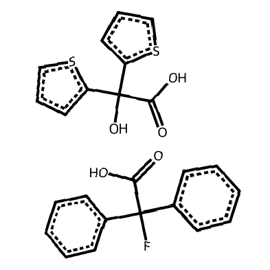 O=C(O)C(F)(c1ccccc1)c1ccccc1.O=C(O)C(O)(c1cccs1)c1cccs1